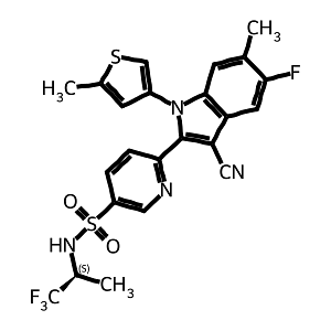 Cc1cc(-n2c(-c3ccc(S(=O)(=O)N[C@@H](C)C(F)(F)F)cn3)c(C#N)c3cc(F)c(C)cc32)cs1